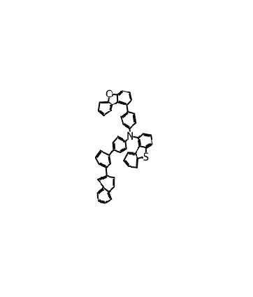 c1cc(-c2ccc(N(c3ccc(-c4cccc5oc6ccccc6c45)cc3)c3cccc4sc5ccccc5c34)cc2)cc(-c2ccc3ccccc3c2)c1